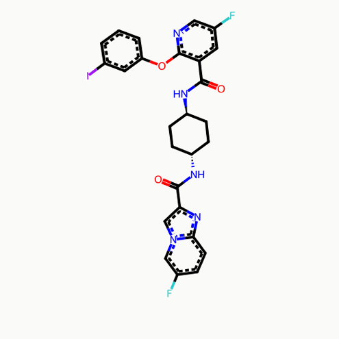 O=C(N[C@H]1CC[C@H](NC(=O)c2cc(F)cnc2Oc2cccc(I)c2)CC1)c1cn2cc(F)ccc2n1